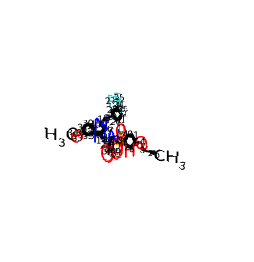 CC#CCOc1ccc(S(=O)(=O)N[C@@H](Cc2cn(Cc3cccc(C(F)(F)F)c3)c3ccc(OC)cc23)C(=O)O)cc1